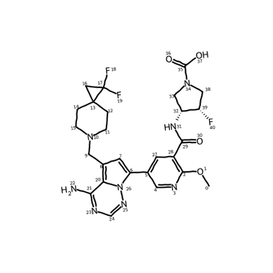 COc1ncc(-c2cc(CN3CCC4(CC3)CC4(F)F)c3c(N)ncnn23)cc1C(=O)N[C@@H]1CN(C(=O)O)C[C@@H]1F